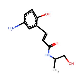 CC(CO)NC(=O)/C=C/c1cc(N)ccc1O